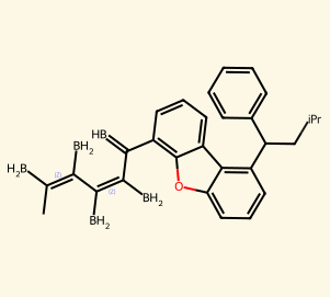 B=C(/C(B)=C(B)\C(B)=C(\B)C)c1cccc2c1oc1cccc(C(CC(C)C)c3ccccc3)c12